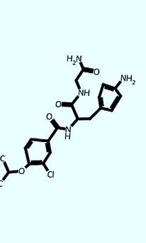 CC(C)Oc1ccc(C(=O)NC(Cc2ccc(N)cc2)C(=O)NCC(N)=O)cc1Cl